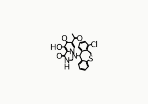 CC(=O)c1cn2c(c(O)c1=O)C(=O)NCN2[C@@H]1c2ccccc2SCc2c(Cl)cccc21